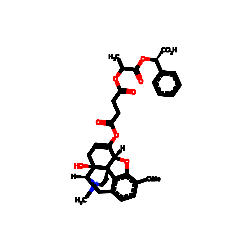 COc1ccc2c3c1O[C@H]1C(OC(=O)CCC(=O)OC(C)C(=O)O[C@H](C(=O)O)c4ccccc4)=CC[C@@]4(O)[C@@H](C2)N(C)CC[C@]314